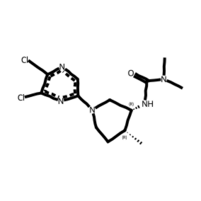 C[C@@H]1CCN(c2cnc(Cl)c(Cl)n2)C[C@@H]1NC(=O)N(C)C